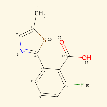 Cc1cnc(-c2cccc(F)c2C(=O)O)s1